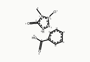 Cn1c(=O)[nH]n[n+]1Cl.O=C(O)c1ccccc1